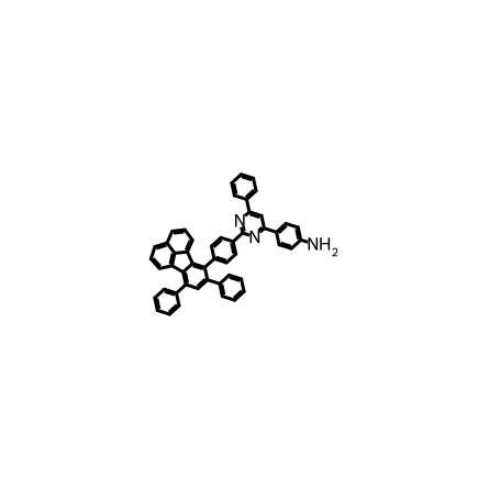 Nc1ccc(-c2cc(-c3ccccc3)nc(-c3ccc(-c4c(-c5ccccc5)cc(-c5ccccc5)c5c4-c4cccc6cccc-5c46)cc3)n2)cc1